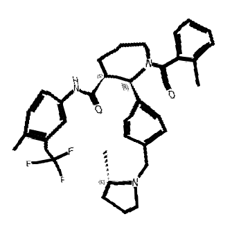 Cc1ccccc1C(=O)N1CCC[C@H](C(=O)Nc2ccc(C)c(C(F)(F)F)c2)[C@@H]1c1ccc(CN2CCC[C@@H]2C)cc1